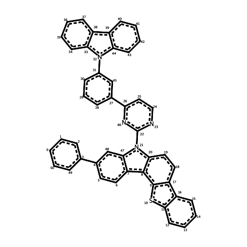 c1ccc(-c2ccc3c4c5sc6ccccc6c5ccc4n(-c4nccc(-c5cccc(-n6c7ccccc7c7ccccc76)c5)n4)c3c2)cc1